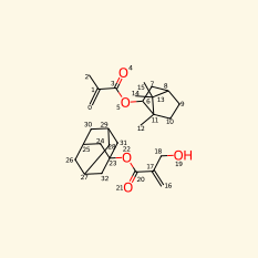 C=C(C)C(=O)OC1CC2CCC1(C)C2(C)C.C=C(CO)C(=O)OC12CC3CC(CC(C3)C1)C2